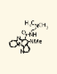 CNc1c(C(=O)NCCN(C)C)c2nc3ccccc3n2c2ncccc12